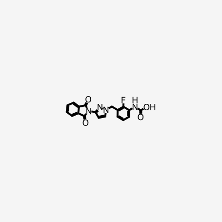 O=C(O)Nc1cccc(Cn2ccc(N3C(=O)c4ccccc4C3=O)n2)c1F